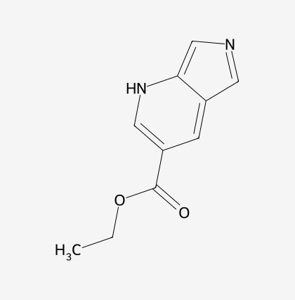 CCOC(=O)c1c[nH]c2cncc-2c1